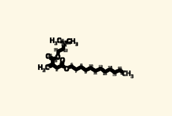 C=C(CC(=O)OCCCCCCCCCCCC)C(=O)OCCN(C)C